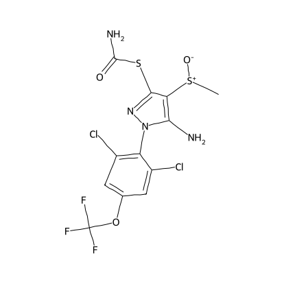 C[S+]([O-])c1c(SC(N)=O)nn(-c2c(Cl)cc(OC(F)(F)F)cc2Cl)c1N